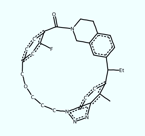 CCC1c2ccc3c(c2)CN(CC3)C(=O)c2ccc(cc2F)COCCCn2nnc3c(C)c1ccc32